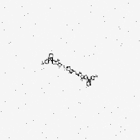 CC(C)(C)c1ccc(N(c2ccccc2)c2ccc3c(c2)C(C)(C)c2cc(/C=C/c4ccc5cc(/C=C/c6ccc7c(c6)C(C)(C)c6cc(N(c8ccccc8)c8ccc(C(C)(C)C)cc8)ccc6-7)ccc5c4)ccc2-3)cc1